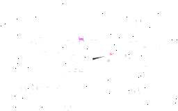 C[C@H](O)C(=O)N(CCN1[C@@H]2CC[C@H]1C[C@@H](c1cccc(C(N)=O)c1)C2)CC1CCC1